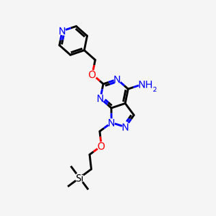 C[Si](C)(C)CCOCn1ncc2c(N)nc(OCc3ccncc3)nc21